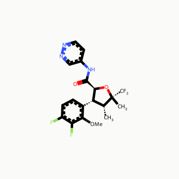 COc1c([C@@H]2[C@@H](C(=O)Nc3ccnnc3)O[C@](C)(C(F)(F)F)[C@@H]2C)ccc(F)c1F